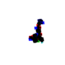 O=C(Nc1ccc(C(=O)N[C@@H](Cc2ccc(F)cc2)C(=O)N2CCCC3(C2)OC(=O)Nc2ccc(Cl)c(F)c23)cc1)OCCc1nnn[nH]1